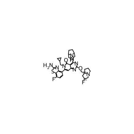 Nc1nc2c(-c3cc4nc(OC[C@@]56CCCN5C[C@H](F)C6)nc(N5CC6CCC(C5)N6)c4c(=O)n3CC3CC3)ccc(F)c2s1